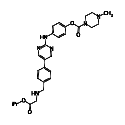 CC(C)OC(=O)CNCc1ccc(-c2cnc(Nc3ccc(OC(=O)N4CCN(C)CC4)cc3)nc2)cc1